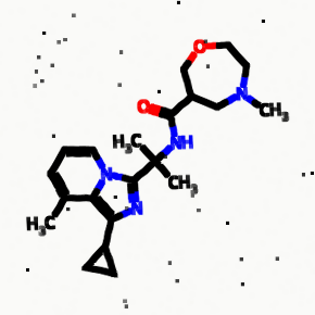 Cc1cccn2c(C(C)(C)NC(=O)C3COCCN(C)C3)nc(C3CC3)c12